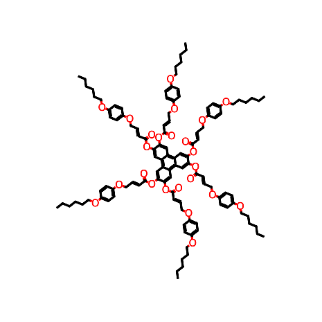 CCCCCCOc1ccc(OC/C=C/C(=O)Oc2cc3c4cc(OC(=O)/C=C/COc5ccc(OCCCCCC)cc5)c(OC(=O)/C=C/COc5ccc(OCCCCCC)cc5)cc4c4cc(OC(=O)/C=C/COc5ccc(OCCCCCC)cc5)c(OC(=O)/C=C/COc5ccc(OCCCCCC)cc5)cc4c3cc2OC(=O)/C=C/COc2ccc(OCCCCCC)cc2)cc1